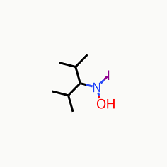 CC(C)C(C(C)C)N(O)I